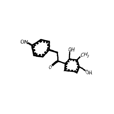 Cc1c(O)ccc(C(=O)Cc2ccc(N=O)cc2)c1O